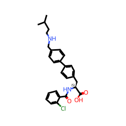 CC(C)CCNCc1ccc(-c2ccc(C[C@H](NC(=O)c3ccccc3Cl)C(=O)O)cc2)cc1